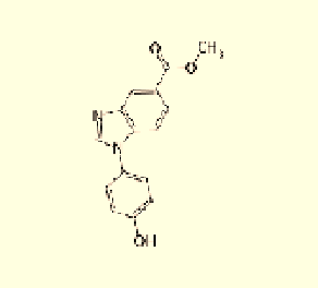 COC(=O)c1ccc2c(c1)ncn2-c1ccc(O)cc1